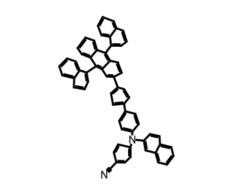 N#Cc1ccc(N(c2ccc(-c3ccc(-c4ccc5c(-c6cccc7ccccc67)c6ccccc6c(-c6cccc7ccccc67)c5c4)cc3)cc2)c2ccc3ccccc3c2)cc1